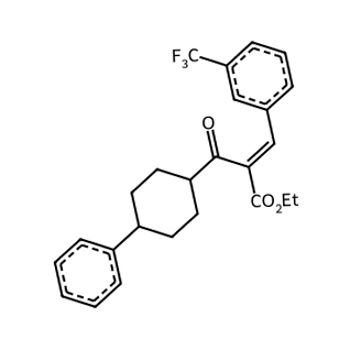 CCOC(=O)C(=Cc1cccc(C(F)(F)F)c1)C(=O)C1CCC(c2ccccc2)CC1